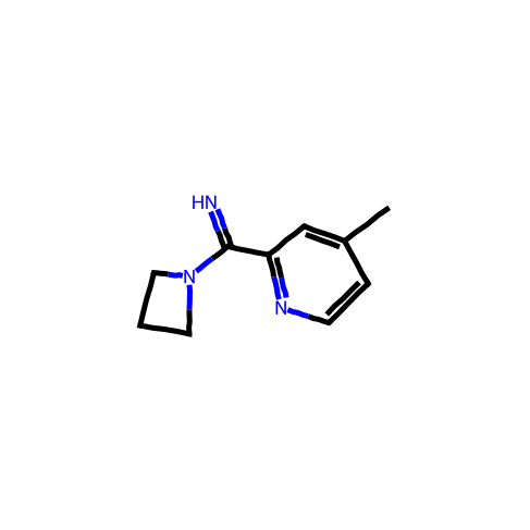 Cc1ccnc(C(=N)N2CCC2)c1